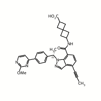 CC#Cc1ccc(C(=O)NC2CC3(C2)CC(C(=O)O)C3)c2c1cnn2[C@@H](C)c1ccc(-c2ccnc(OC)n2)cc1